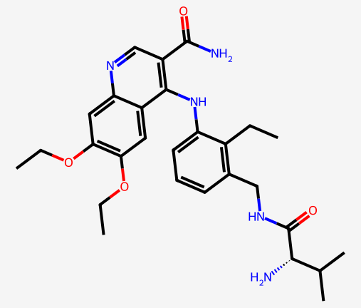 CCOc1cc2ncc(C(N)=O)c(Nc3cccc(CNC(=O)[C@@H](N)C(C)C)c3CC)c2cc1OCC